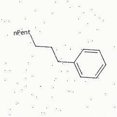 CCCCCCCCc1[c]cc[c]c1